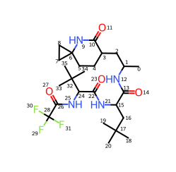 CC(CC1CCC2(CC2)NC1=O)NC(=O)C(CC(C)(C)C)NC(=O)C(NC(=O)C(F)(F)F)C(C)(C)C